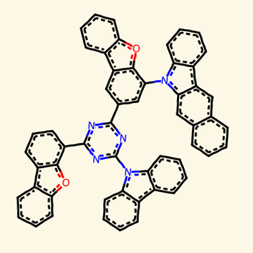 c1ccc2cc3c(cc2c1)c1ccccc1n3-c1cc(-c2nc(-c3cccc4c3oc3ccccc34)nc(-n3c4ccccc4c4ccccc43)n2)cc2c1oc1ccccc12